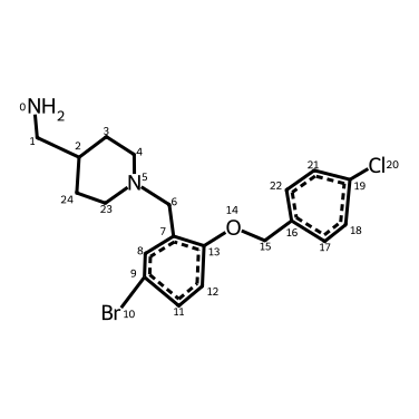 NCC1CCN(Cc2cc(Br)ccc2OCc2ccc(Cl)cc2)CC1